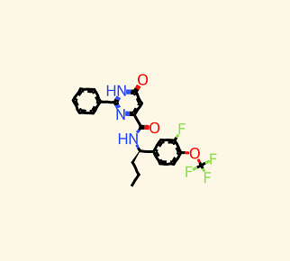 CCC[C@@H](NC(=O)c1cc(=O)[nH]c(-c2ccccc2)n1)c1ccc(OC(F)(F)F)c(F)c1